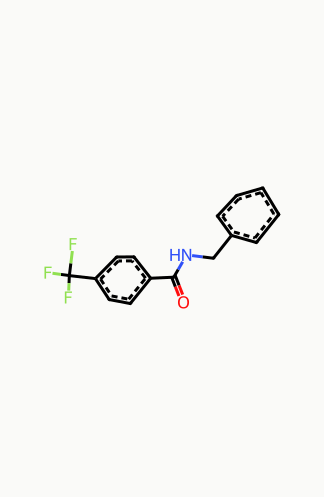 O=C(NCc1ccccc1)c1ccc(C(F)(F)F)cc1